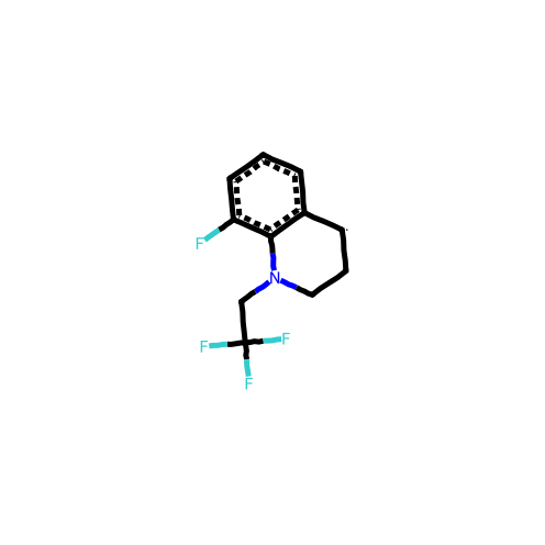 Fc1cccc2c1N(CC(F)(F)F)CC[CH]2